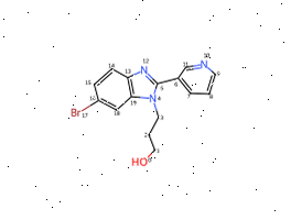 OCCCn1c(-c2cccnc2)nc2ccc(Br)cc21